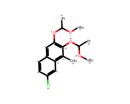 CCCCOC(Oc1cc2ccc(Cl)cc2c(OC(C)=O)c1OC(OCCCC)C(C)C)C(C)C